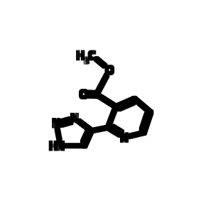 COC(=O)c1cccnc1-c1c[nH]nn1